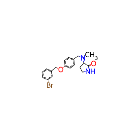 CN(Cc1ccc(OCc2cccc(Br)c2)cc1)C1CCNC1=O